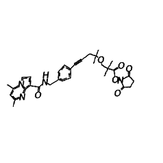 Cc1cc(C)n2ccc(C(=O)NCc3ccc(C#CCC(C)(C)OCC(C)(C)C(=O)ON4C(=O)CCC4=O)cc3)c2n1